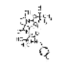 CC1CCC2(C(=O)N([C@H](C(=O)NCc3ccc(F)cc3)[C@@H](C)O)C2C)N1C(=O)OC(C)(C)C